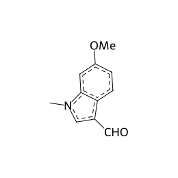 COc1ccc2c(C=O)cn(C)c2c1